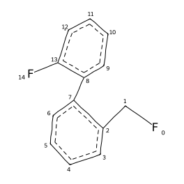 FCc1ccccc1-c1ccc[c]c1F